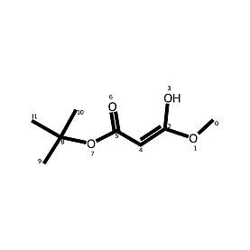 COC(O)=CC(=O)OC(C)(C)C